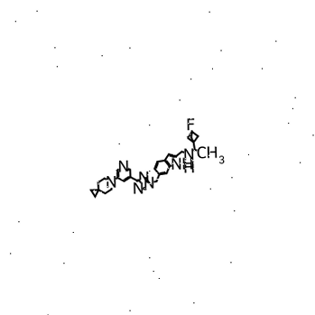 CC(NCc1cc2ccc(Cn3cnc(-c4cncc(N5CCC6(CC5)CC6)c4)n3)cc2[nH]1)C12CC(F)(C1)C2